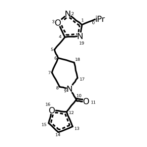 CC(C)c1noc(CC2CCN(C(=O)c3ccco3)CC2)n1